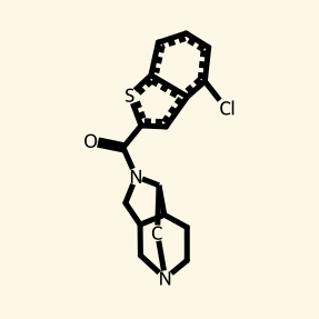 O=C(c1cc2c(Cl)cccc2s1)N1CC2CN3CCC2C1C3